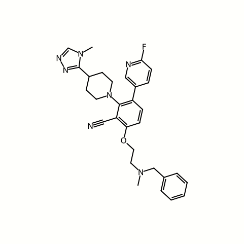 CN(CCOc1ccc(-c2ccc(F)nc2)c(N2CCC(c3nncn3C)CC2)c1C#N)Cc1ccccc1